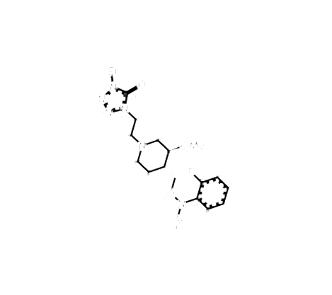 CCn1nnn(CCN2CC[C@@H](CON(C(C)=O)c3ccccc3F)[C@H](OC)C2)c1=O